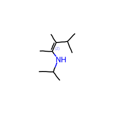 C/C(NC(C)C)=C(\C)C(C)C